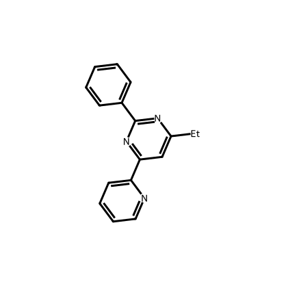 CCc1cc(-c2ccccn2)nc(-c2ccccc2)n1